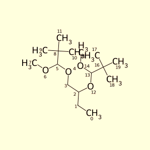 CCC(COC(OC)C(C)(C)C)OC(OC)C(C)(C)C